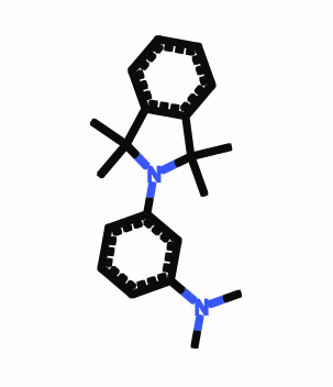 CN(C)c1cccc(N2C(C)(C)c3ccccc3C2(C)C)c1